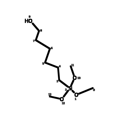 CO[Si](CCCCCCO)(OC)OC